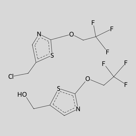 FC(F)(F)COc1ncc(CCl)s1.OCc1cnc(OCC(F)(F)F)s1